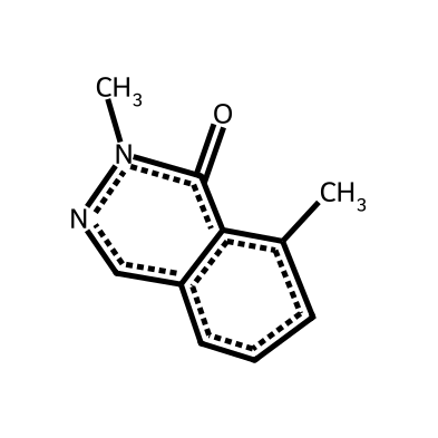 Cc1cccc2cnn(C)c(=O)c12